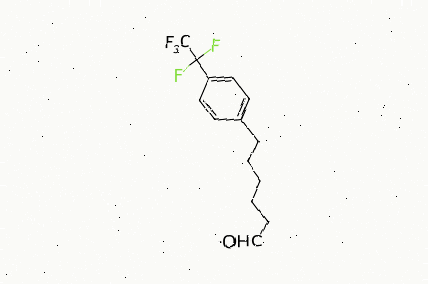 O=[C]CCCCCc1ccc(C(F)(F)C(F)(F)F)cc1